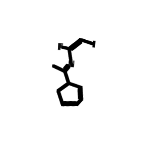 C/C(=N\C(F)=C/I)C1C=CC=CC1